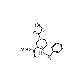 COC(=O)C1CN(C(=O)OC(C)(C)C)CC[C@@H]1N[C@@H](C)c1ccccc1